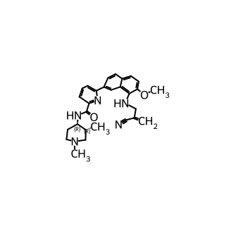 C=C(C#N)CNc1c(OC)ccc2ccc(-c3cccc(C(=O)N[C@@H]4CCN(C)C[C@H]4C)n3)cc12